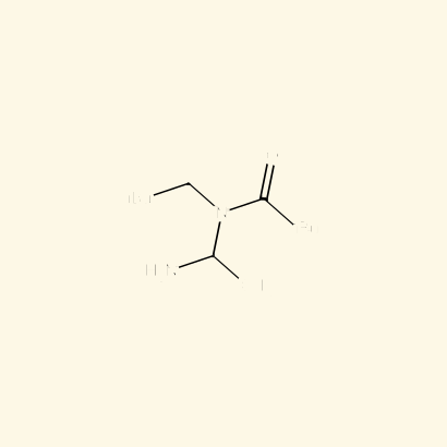 CCC(C)CN(C(=O)C(C)CC)C(C)N